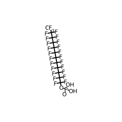 O=P(O)(O)OC(F)(F)C(F)(F)C(F)(F)C(F)(F)C(F)(F)C(F)(F)C(F)(F)C(F)(F)C(F)(F)C(F)(F)C(F)(F)C(F)(F)F